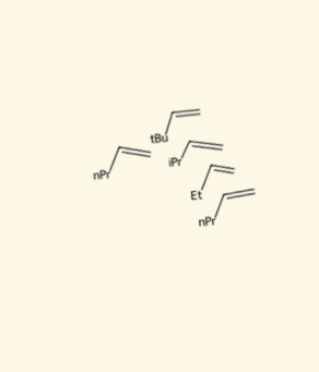 C=CC(C)(C)C.C=CC(C)C.C=CCC.C=CCCC.C=CCCC